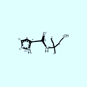 CC(C)(CO)NC(=O)c1ccn[nH]1